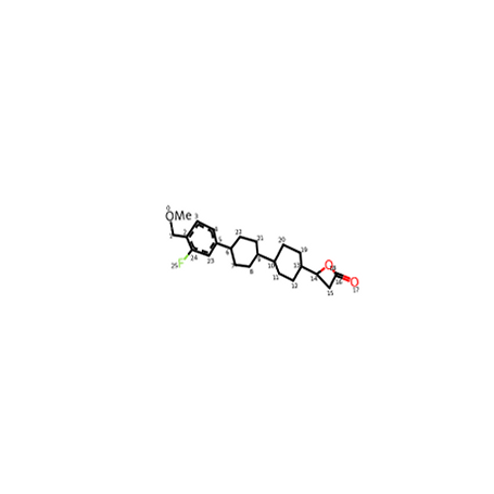 COCc1ccc(C2CCC(C3CCC(C4CC(=O)O4)CC3)CC2)cc1F